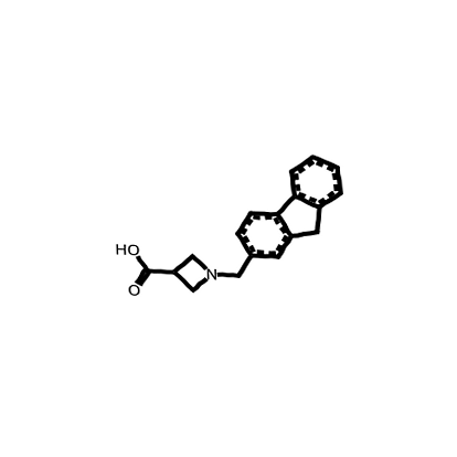 O=C(O)C1CN(Cc2ccc3c(c2)Cc2ccccc2-3)C1